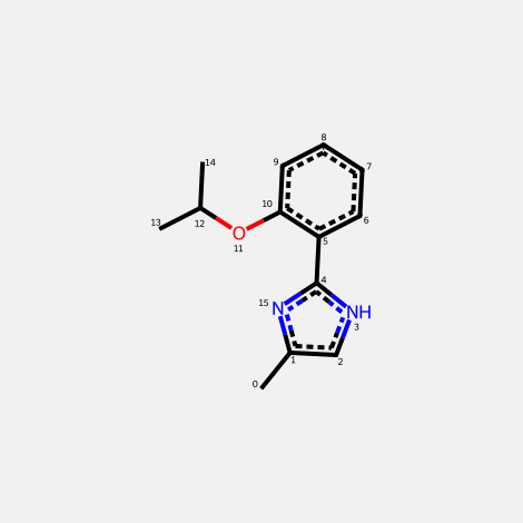 Cc1c[nH]c(-c2cc[c]cc2OC(C)C)n1